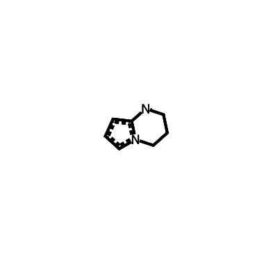 c1cc2n(c1)CCC[N]2